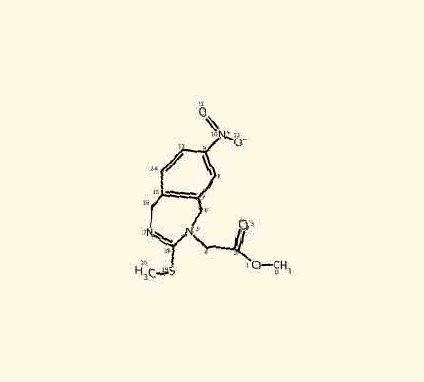 COC(=O)CN1Cc2cc([N+](=O)[O-])ccc2CN=C1SC